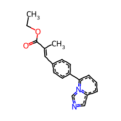 CCOC(=O)/C(C)=C/c1ccc(-c2cccc3cncn23)cc1